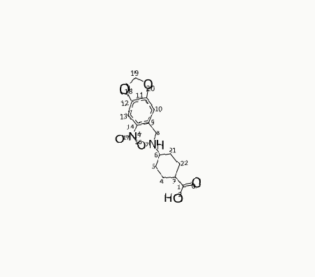 O=C(O)C1CCC(NCc2cc3c(cc2[N+](=O)[O-])OCO3)CC1